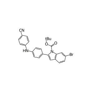 CC(C)(C)OC(=O)n1c(-c2ccc(Nc3ccc(C#N)cc3)cc2)cc2ccc(Br)cc21